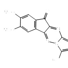 CCCc1nnc2nc3c(nn12)-c1cc(OC)c(OC)cc1C3=O